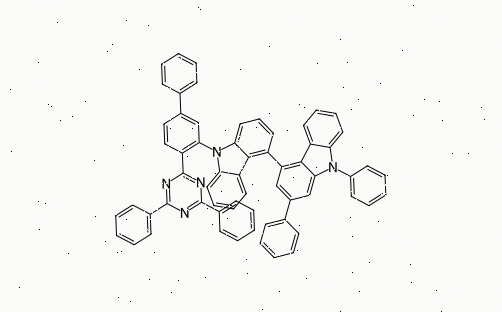 c1ccc(-c2ccc(-c3nc(-c4ccccc4)nc(-c4ccccc4)n3)c(-n3c4ccccc4c4c(-c5cc(-c6ccccc6)cc6c5c5ccccc5n6-c5ccccc5)cccc43)c2)cc1